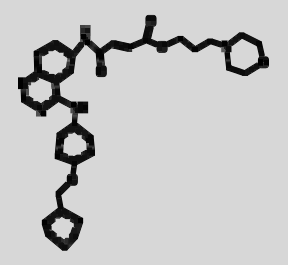 O=C(C=CC(=O)OCCCN1CCOCC1)Nc1ccc2ncnc(Nc3ccc(OCc4ccccc4)cc3)c2c1